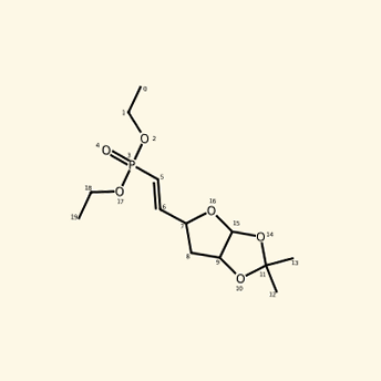 CCOP(=O)(C=CC1CC2OC(C)(C)OC2O1)OCC